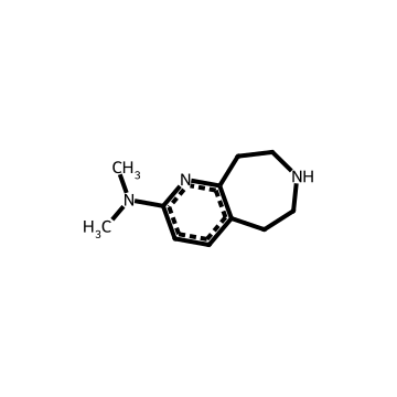 CN(C)c1ccc2c(n1)CCNCC2